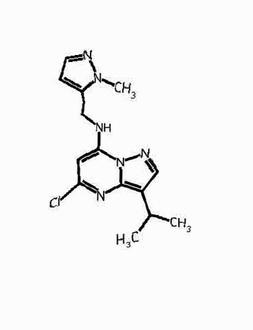 CC(C)c1cnn2c(NCc3ccnn3C)cc(Cl)nc12